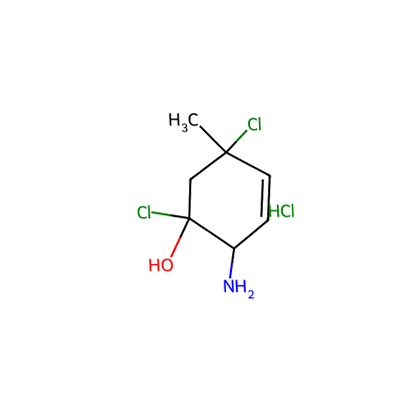 CC1(Cl)C=CC(N)C(O)(Cl)C1.Cl